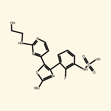 CCCS(=O)(=O)Nc1cccc(-c2nc(C(C)(C)C)sc2-c2ccnc(NCCO)n2)c1F